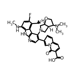 CNc1cc(F)c(C#N)c2c1[nH]c1ncc(-c3ccc4ccc(C(=O)O)c(=O)n4c3)c(N3C[C@@H]4C(N(C)C)CO[C@@H]4C3)c12